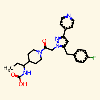 CCC(NC(=O)O)C1CCN(C(=O)Cn2nc(-c3ccncc3)cc2Cc2ccc(F)cc2)CC1